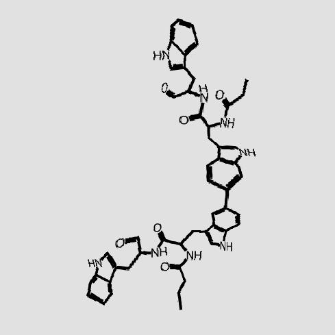 CCCC(=O)NC(Cc1c[nH]c2ccc(-c3ccc4c(CC(NC(=O)CC)C(=O)NC(C=O)Cc5c[nH]c6ccccc56)c[nH]c4c3)cc12)C(=O)NC(C=O)Cc1c[nH]c2ccccc12